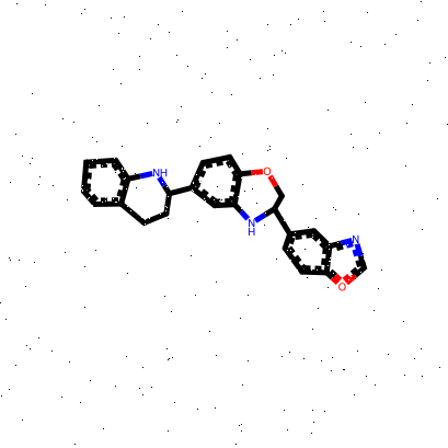 c1ccc2c(c1)CCC(c1ccc3c(c1)NC(c1ccc4ocnc4c1)CO3)N2